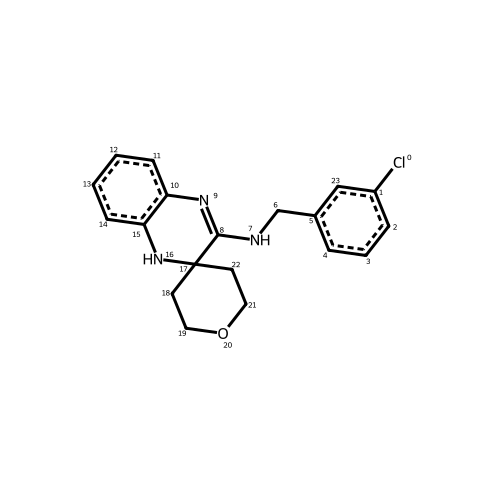 Clc1cccc(CNC2=Nc3ccccc3NC23CCOCC3)c1